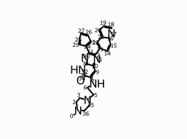 CN1CCN(CCNc2cc3nc(-c4ccc5ncccc5c4)c(-c4ccccc4)nc3[nH]c2=O)CC1